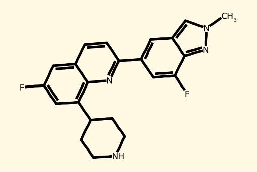 Cn1cc2cc(-c3ccc4cc(F)cc(C5CCNCC5)c4n3)cc(F)c2n1